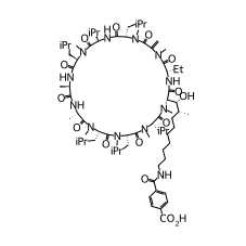 C=C1C(=O)N(C)[C@@H](CC(C)C)C(=O)N[C@H](C(C)C)C(=O)N(C)[C@H](CC(C)C)C(=O)N[C@H](C)C(=O)N[C@@H](C)C(=O)N(C)[C@@H](CC(C)C)C(=O)N(C)[C@@H](CC(C)C)C(=O)N(C)[C@@H](C(C)C)C(=O)N(C)[C@@H]([C@H](O)[C@H](C)CCCCCCCNC(=O)c2ccc(C(=O)O)cc2)C(=O)N[C@@H](CC)C(=O)N1C